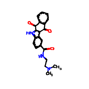 CN(C)CCNC(=O)c1ccc2[nH]c3c(c2c1)C(=O)c1ccccc1C3=O